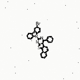 Brc1ccc2c(c1)c1ccccc1n2-c1nc(-c2ccccc2)c2c(n1)sc1c3ccccc3ccc12